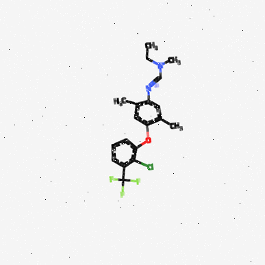 CCN(C)/C=N/c1cc(C)c(Oc2cccc(C(F)(F)F)c2Cl)cc1C